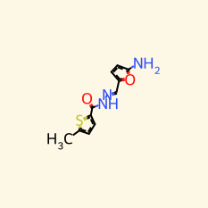 Cc1ccc(C(=O)N/N=C/c2ccc(N)o2)s1